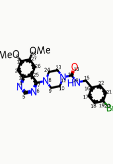 COc1cc2ncnc(N3CCN(C(=O)NCc4ccc(Br)cc4)CC3)c2cc1OC